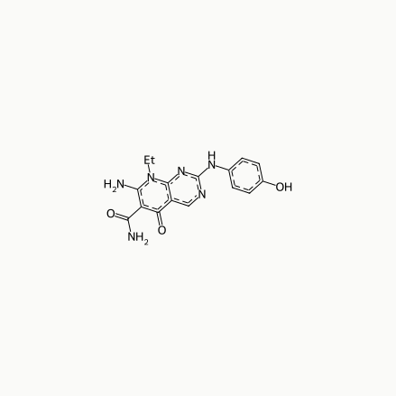 CCn1c(N)c(C(N)=O)c(=O)c2cnc(Nc3ccc(O)cc3)nc21